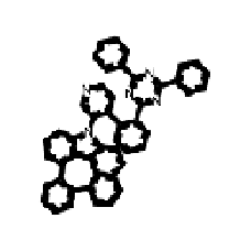 c1ccc(-c2nc(-c3ccccc3)nc(-c3ccccc3-c3ccncc3-n3c4cccc5c4c4c6c(cccc6ccc43)-c3ccccc3-5)n2)cc1